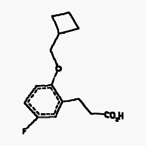 O=C(O)CCc1cc(F)ccc1OCC1CCC1